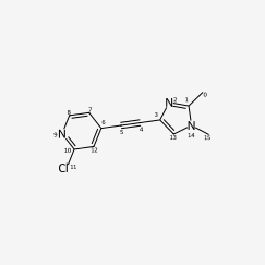 Cc1nc(C#Cc2ccnc(Cl)c2)cn1C